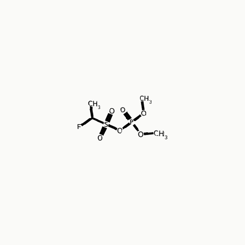 COP(=O)(OC)OS(=O)(=O)C(C)F